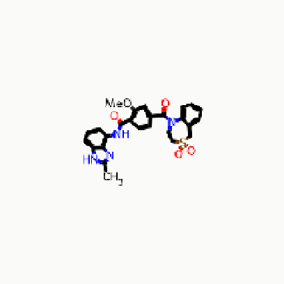 COc1cc(C(=O)N2CCS(=O)(=O)Cc3ccccc32)ccc1C(=O)Nc1cccc2[nH]c(C)nc12